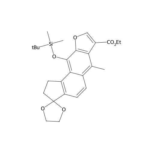 CCOC(=O)c1coc2c(O[Si](C)(C)C(C)(C)C)c3c4c(ccc3c(C)c12)C1(CC4)OCCO1